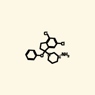 N[C@@H]1CCCN(C2(Oc3ccccc3)CCc3c(Cl)cc(Cl)cc32)C1